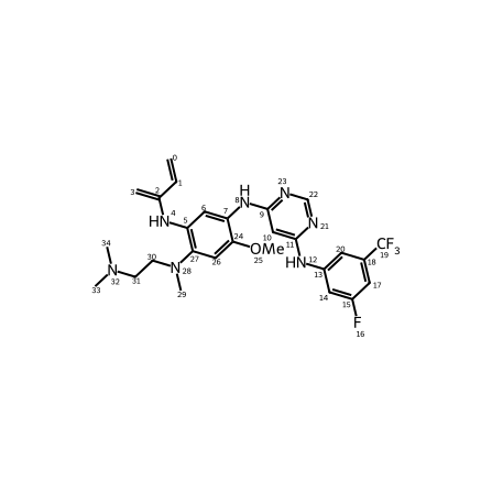 C=CC(=C)Nc1cc(Nc2cc(Nc3cc(F)cc(C(F)(F)F)c3)ncn2)c(OC)cc1N(C)CCN(C)C